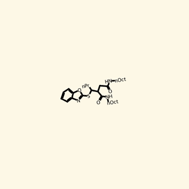 CCCCCCCCNC(=O)CC(C(=O)NCCCCCCCC)C(CCC)Sc1nc2ccccc2o1